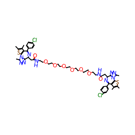 Cc1sc2c(c1C)C(c1ccc(Cl)cc1)=NC(CC(=O)NCCOCCOCCOCCOCCOCCOCCNC(=O)CC1N=C(c3ccc(Cl)cc3)c3c(sc(C)c3C)-n3c(C)nnc31)c1nnc(C)n1-2